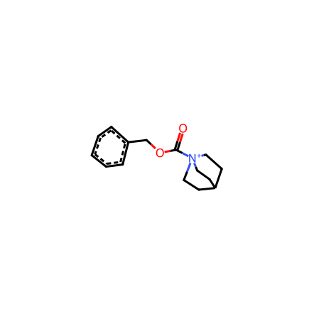 O=C(OCc1ccccc1)[N+]12CCC(CC1)CC2